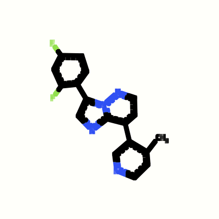 Cc1ccncc1-c1ccnn2c(-c3ccc(F)cc3F)cnc12